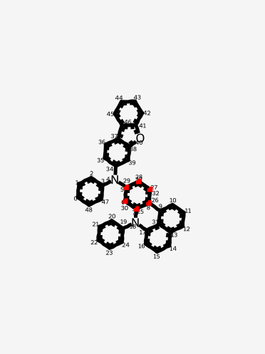 c1ccc(N(c2ccc(-c3cccc4cccc(N(c5ccccc5)c5ccccc5)c34)cc2)c2ccc3c(c2)oc2ccccc23)cc1